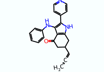 C=C=CC1CC(=O)c2c([nH]c(-c3ccncc3)c2Nc2ccccc2)C1